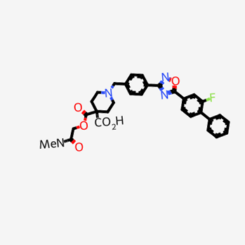 CNC(=O)COC(=O)C1(C(=O)O)CCN(Cc2ccc(-c3noc(-c4ccc(-c5ccccc5)c(F)c4)n3)cc2)CC1